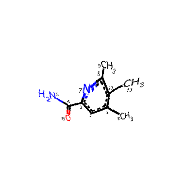 Cc1cc(C(N)=O)nc(C)c1C